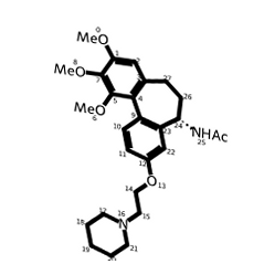 COc1cc2c(c(OC)c1OC)-c1ccc(OCCN3CCCCC3)cc1[C@@H](NC(C)=O)CC2